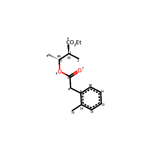 CCOC(=O)[C@@H](C)[C@@H](C)OC(=O)Cc1ccccc1C